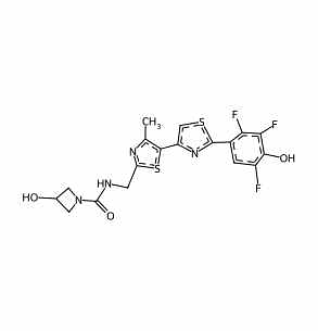 Cc1nc(CNC(=O)N2CC(O)C2)sc1-c1csc(-c2cc(F)c(O)c(F)c2F)n1